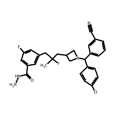 CC(F)(Cc1cc(F)cc(C(=O)NN)c1)CC1CN(C(c2ccc(Cl)cc2)c2cccc(C#N)c2)C1